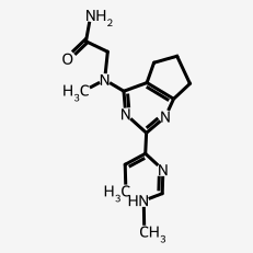 C/C=C(\N=C/NC)c1nc2c(c(N(C)CC(N)=O)n1)CCC2